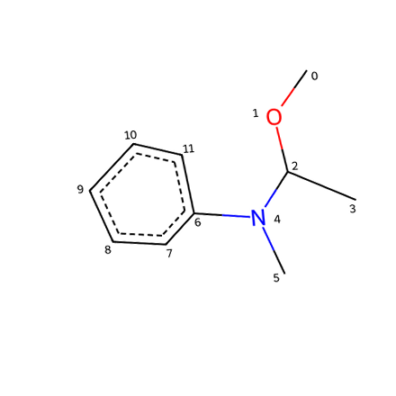 COC(C)N(C)c1ccccc1